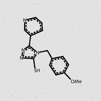 COc1ccc(Cn2c(S)nnc2-c2cccnc2)cc1